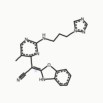 Cc1cnc(NCCCn2cncn2)nc1/C(C#N)=C1/Nc2ccccc2O1